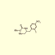 CC(C)(C)CC(Cc1ccc([N+](=O)[O-])cc1I)NC(=O)OC(C)(C)C